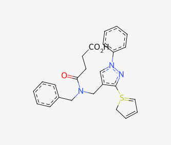 O=C(O)CCC(=O)N(Cc1ccccc1)Cc1cn(-c2ccccc2)nc1S1=CC=CC1